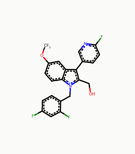 OCc1c(-c2ccc(F)nc2)c2cc(OC(F)(F)F)ccc2n1Cc1ccc(F)cc1F